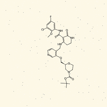 COc1c(Cl)cc(F)cc1NC(=S)C1=C(NCc2ccncc2OC[C@@H]2CN(C(=O)OC(C)(C)C)CCO2)CCNC1=O